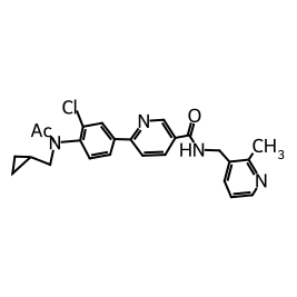 CC(=O)N(CC1CC1)c1ccc(-c2ccc(C(=O)NCc3cccnc3C)cn2)cc1Cl